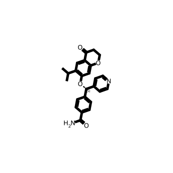 CC(C)c1cc2c(cc1O[C@H](c1ccncc1)c1ccc(C(N)=O)cc1)OCCC2=O